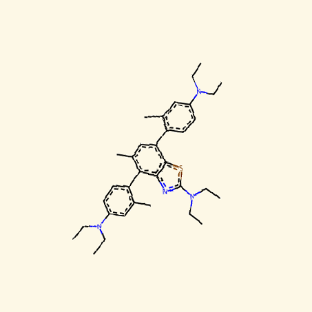 CCN(CC)c1ccc(-c2c(C)[c]c(-c3ccc(N(CC)CC)cc3C)c3sc(N(CC)CC)nc23)c(C)c1